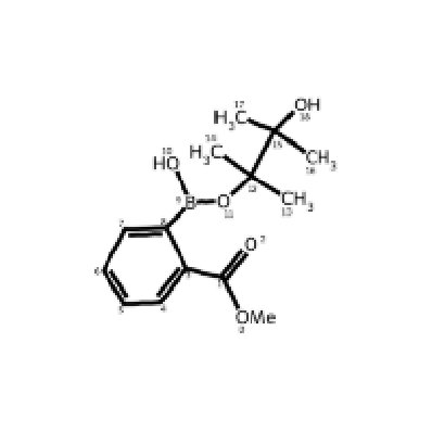 COC(=O)c1ccccc1B(O)OC(C)(C)C(C)(C)O